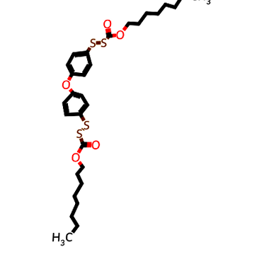 CCCCCCCCOC(=O)SSc1ccc(Oc2ccc(SSC(=O)OCCCCCCCC)cc2)cc1